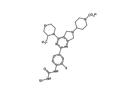 CCNC(=O)Nc1ccc(-c2nc3c(c(N4CCOCC4C)n2)CN(C2CCN(C(=O)O)CC2)C3)cc1F